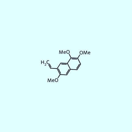 C=Cc1cc2c(OC)c(OC)ccc2cc1OC